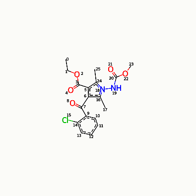 CCOC(=O)c1c(C(=O)c2ccccc2Cl)c(C)n(NC(=O)OC)c1C